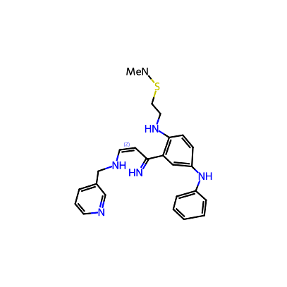 CNSCCNc1ccc(Nc2ccccc2)cc1C(=N)/C=C\NCc1cccnc1